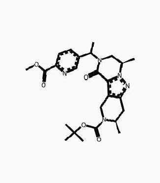 COC(=O)c1ccc(C(C)N2C[C@@H](C)n3nc4c(c3C2=O)CN(C(=O)OC(C)(C)C)[C@H](C)C4)cn1